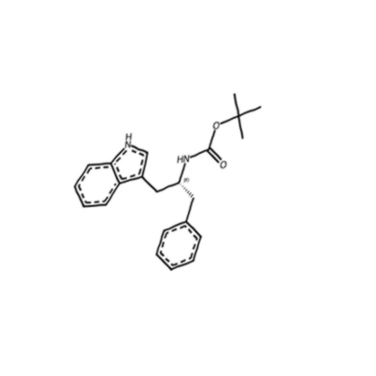 CC(C)(C)OC(=O)N[C@H](Cc1ccccc1)Cc1c[nH]c2ccccc12